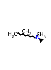 C=C(CCC)CCCCCN(C)C1CC1